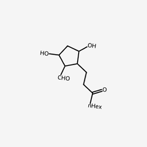 CCCCCCC(=O)CCC1C(O)CC(O)C1C=O